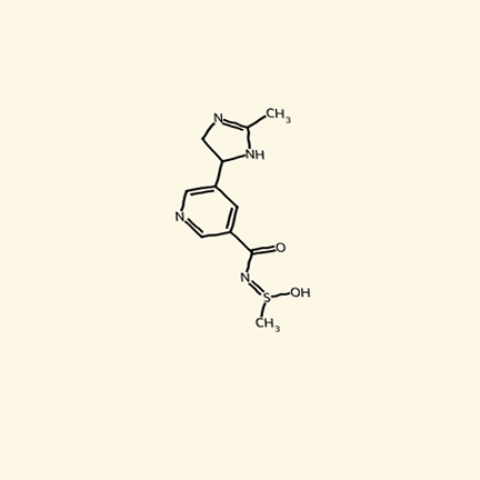 CC1=NCC(c2cncc(C(=O)/N=S(/C)O)c2)N1